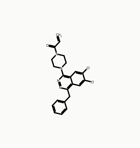 C=CC(=O)N1CCN(c2nnc(Cc3ccccc3)c3cc(Cl)c(Cl)cc23)CC1